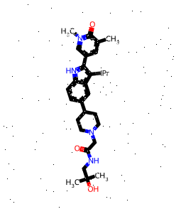 Cc1cc(-c2[nH]c3ccc(C4CCN(CC(=O)NCC(C)(C)O)CC4)cc3c2C(C)C)cn(C)c1=O